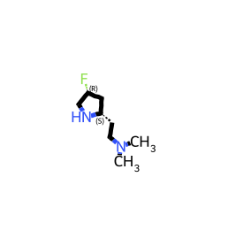 CN(C)CC[C@H]1C[C@@H](F)CN1